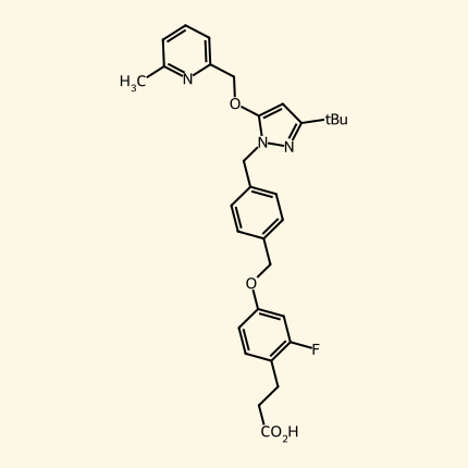 Cc1cccc(COc2cc(C(C)(C)C)nn2Cc2ccc(COc3ccc(CCC(=O)O)c(F)c3)cc2)n1